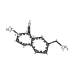 CCc1ccc2ccn(C)c(=O)c2c1